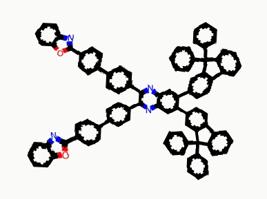 c1ccc(C2(c3ccccc3)c3ccccc3-c3ccc(-c4cc5nc(-c6ccc(-c7ccc(-c8nc9ccccc9o8)cc7)cc6)c(-c6ccc(-c7ccc(-c8nc9ccccc9o8)cc7)cc6)nc5cc4-c4ccc5c(c4)C(c4ccccc4)(c4ccccc4)c4ccccc4-5)cc32)cc1